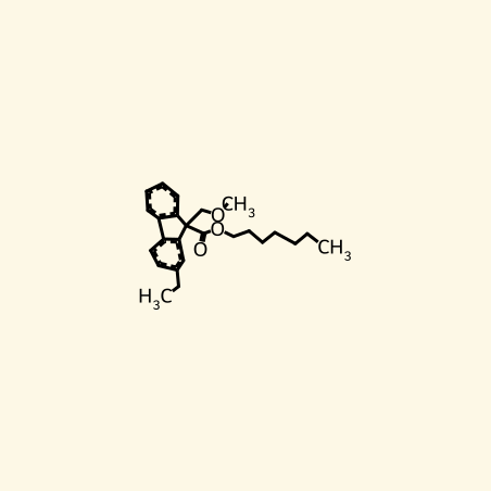 CCCCCCCOC(=O)C1(COC)c2ccccc2-c2ccc(CC)cc21